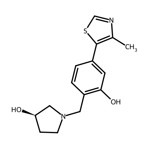 Cc1ncsc1-c1ccc(CN2CC[C@@H](O)C2)c(O)c1